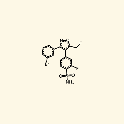 NS(=O)(=O)c1ccc(-c2c(-c3cccc(Br)c3)noc2CF)cc1F